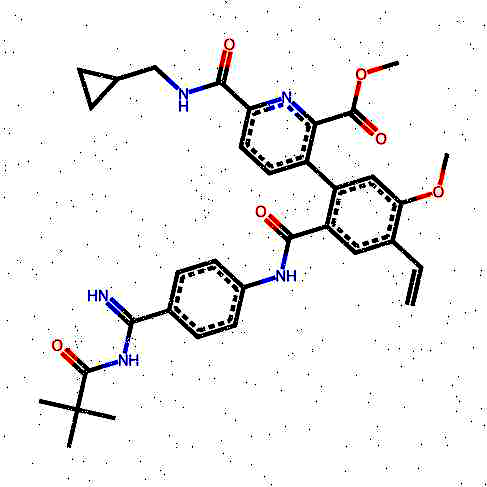 C=Cc1cc(C(=O)Nc2ccc(C(=N)NC(=O)C(C)(C)C)cc2)c(-c2ccc(C(=O)NCC3CC3)nc2C(=O)OC)cc1OC